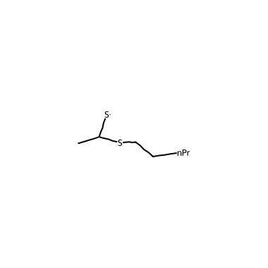 CCCCCSC(C)[S]